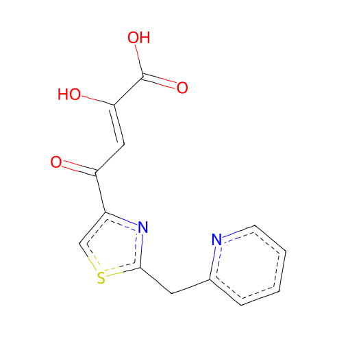 O=C(O)C(O)=CC(=O)c1csc(Cc2ccccn2)n1